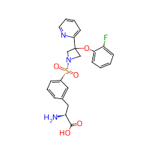 N[C@@H](Cc1cccc(S(=O)(=O)N2CC(Oc3ccccc3F)(c3ccccn3)C2)c1)C(=O)O